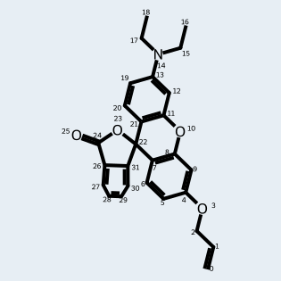 C=CCOc1ccc2c(c1)Oc1cc(N(CC)CC)ccc1C21OC(=O)c2ccccc21